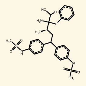 CC(O)C(N)(Oc1ccccc1)[C@H](C)CC(c1ccc(NS(C)(=O)=O)cc1)c1ccc(NS(C)(=O)=O)cc1